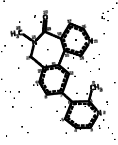 Cc1ncccc1-c1ccc2c(c1)-c1cnccc1C(=O)N(C)C2